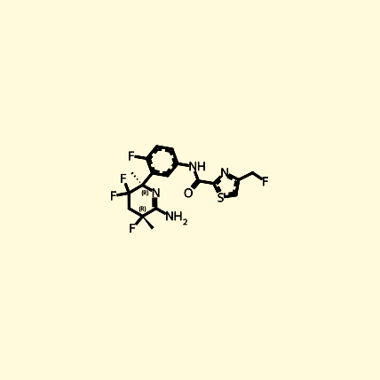 C[C@@]1(F)CC(F)(F)[C@@](C)(c2cc(NC(=O)c3nc(CF)cs3)ccc2F)N=C1N